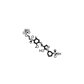 COc1cc(S(=O)(=O)CCOS(=O)(=O)O)c(C)cc1/N=N/c1cnn(-c2cccc(S(=O)(=O)O)c2)c1O